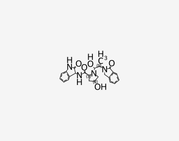 C[C@@H](C(O)N1C[C@H](O)C[C@H]1C(=O)NC1C(=O)Nc2ccccc21)N1Cc2ccccc2C1=O